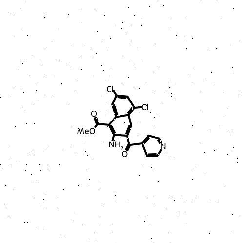 COC(=O)c1c(N)c(C(=O)c2ccncc2)cc2c(Cl)cc(Cl)cc12